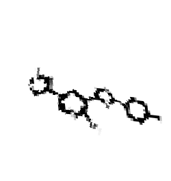 Nc1ncc(-c2cn[nH]c2)cc1-c1nnc(-c2ccc(F)cc2)o1